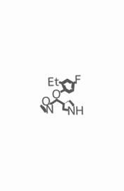 CCc1cc(F)ccc1O[C@H](c1ncco1)[C@@H]1CCNC1